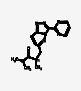 C[C@H](Cc1ccc2nnc(-c3ncccn3)n2n1)C(=O)N(C)C